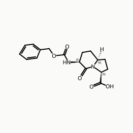 O=C(N[C@H]1CC[C@H]2CC[C@@H](C(=O)O)N2C1=O)OCc1ccccc1